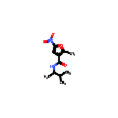 Cc1oc([N+](=O)[O-])cc1C(=O)NC(C)C(C)C